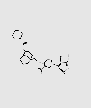 CNc1nc(C)cc(N2CCc3c(c(C)nn3CC34CCCC(C3)C(NC(=O)[C@H]3COCCN3)CC4)C2)c1C=N